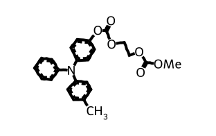 COC(=O)OCCOC(=O)Oc1ccc(N(c2ccccc2)c2ccc(C)cc2)cc1